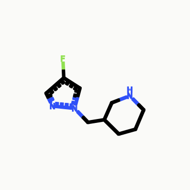 Fc1cnn(CC2CCCNC2)c1